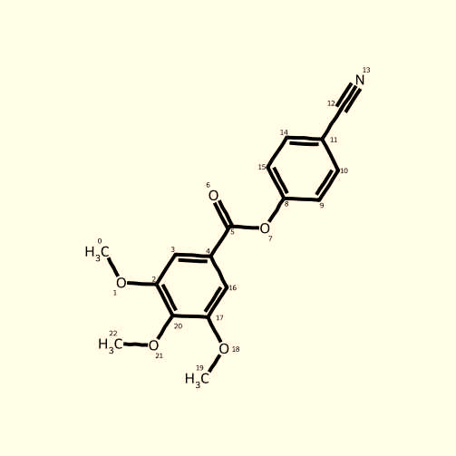 COc1cc(C(=O)Oc2ccc(C#N)cc2)cc(OC)c1OC